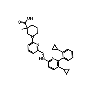 CC1(C(=O)O)CCCN(c2cccc(SNc3ccc(C4CC4)c(-c4ccccc4C4CC4)n3)n2)C1